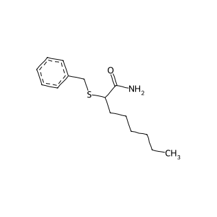 CCCCCCC(SCc1ccccc1)C(N)=O